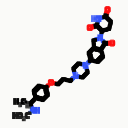 C[C@@H](NC(=O)O)c1ccc(OCCCN2CCN(c3ccc4c(c3)CN(C3CCC(=O)NC3=O)C4=O)CC2)cc1